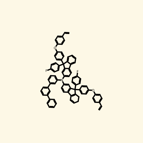 C=Cc1ccc(Oc2ccc(C3(c4ccc(F)cc4)C4=C(C=CCC4)c4ccc(N(c5cccc(-c6cccc(-c7ccccc7)c6)c5)c5ccc6c(c5)C(c5ccc(F)cc5)(c5ccc(Oc7ccc(C=C)cc7)cc5)c5ccccc5-6)cc43)cc2)cc1